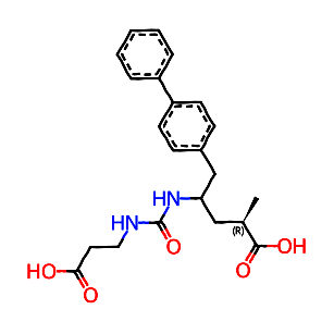 C[C@H](CC(Cc1ccc(-c2ccccc2)cc1)NC(=O)NCCC(=O)O)C(=O)O